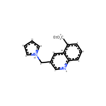 CCOC(=O)c1cccc2ncc(Cn3[c]ccc3)cc12